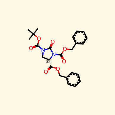 CC(C)(C)OC(=O)N1C[C@@H](C(=O)OCc2ccccc2)N(C(=O)OCc2ccccc2)C1=O